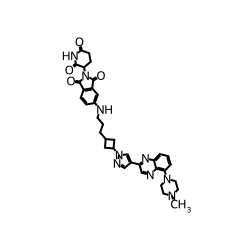 CN1CCN(c2cccc3nc(-c4cnn(C5CC(CCCNc6ccc7c(c6)C(=O)N(C6CCC(=O)NC6=O)C7=O)C5)c4)cnc23)CC1